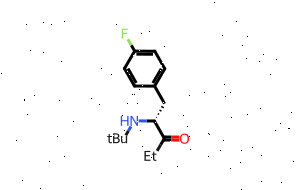 CCC(=O)[C@@H](Cc1ccc(F)cc1)NC(C)(C)C